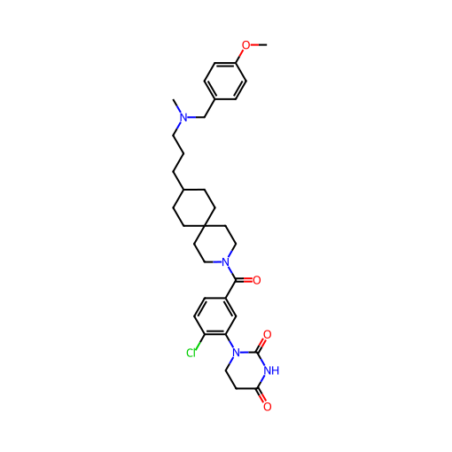 COc1ccc(CN(C)CCCC2CCC3(CC2)CCN(C(=O)c2ccc(Cl)c(N4CCC(=O)NC4=O)c2)CC3)cc1